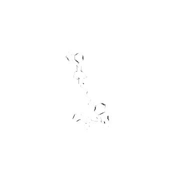 O=C(OCn1c(=O)ccc2ccc(OCCCCN3CCN(c4cccc5sccc45)CC3)cc21)c1ccco1